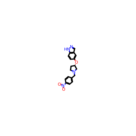 O=[N+]([O-])c1ccc(CN2CC[C@H](Oc3ccc4[nH]ncc4c3)C2)cc1